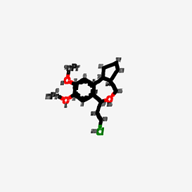 CCCOc1cc2c(cc1OCCC)C1CCCC1COC2CCCl